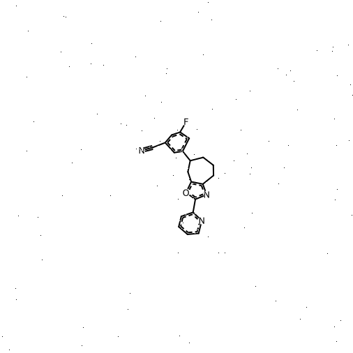 N#Cc1cc(F)cc(C2CCCc3nc(-c4ccccn4)oc3C2)c1